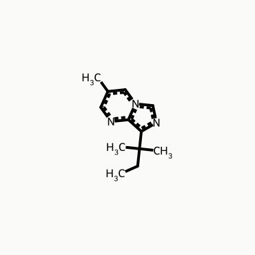 CCC(C)(C)c1ncn2cc(C)cnc12